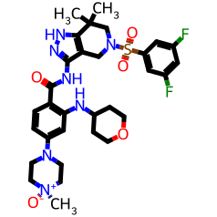 CC1(C)CN(S(=O)(=O)c2cc(F)cc(F)c2)Cc2c(NC(=O)c3ccc(N4CC[N+](C)([O-])CC4)cc3NC3CCOCC3)n[nH]c21